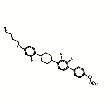 C=CCCCOc1ccc(C2CCC(c3ccc(-c4ccc(OCCCC)cc4)c(F)c3F)CC2)c(F)c1